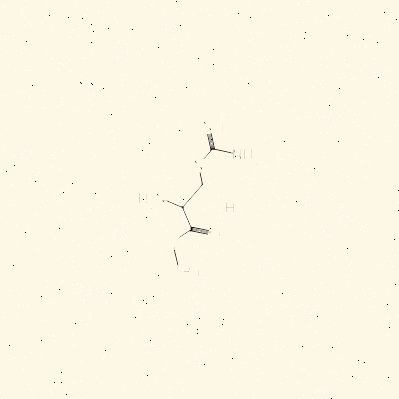 CC(C)(C)OC(=O)C(N)CNC(=N)N.I